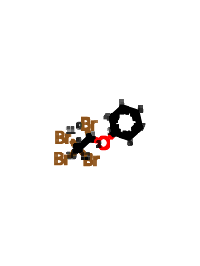 BrC(Oc1ccccc1)C(Br)(Br)Br